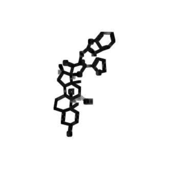 C[C@@H]1CC2C3CCC4=CC(=O)C=CC4(C)[C@@]3(Cl)[C@@H](O)CC2(C)[C@@]1(OC(=O)c1ccco1)C(=O)CSc1nc2ccccc2o1